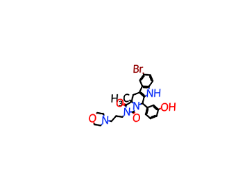 CC12Cc3c([nH]c4ccc(Br)cc34)C(c3cccc(O)c3)N1C(=O)N(CCCN1CCOCC1)C2=O